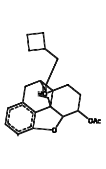 CC(=O)OC1CCC2(O)C3Cc4cc[c]c5c4C2(CCN3CC2CCC2)C1O5